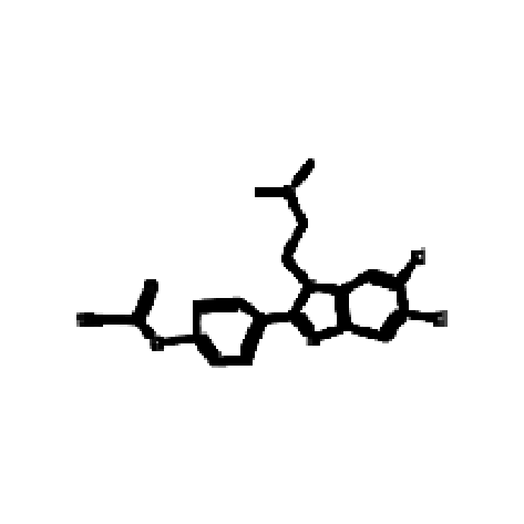 CN(C)CCn1c(-c2ccc(OC(=O)C(C)(C)C)cc2)nc2cc(Cl)c(Cl)cc21